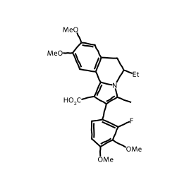 CCC1Cc2cc(OC)c(OC)cc2-c2c(C(=O)O)c(-c3ccc(OC)c(OC)c3F)c(C)n21